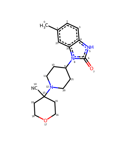 Cc1ccc2[nH]c(=O)n(C3CCN(C4(C#N)CCOCC4)CC3)c2c1